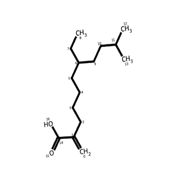 C=C(CCCCC(CC)CCC(C)C)C(=O)O